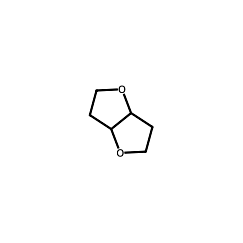 C1CC2OCCC2O1